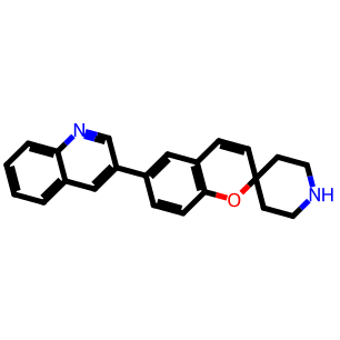 C1=CC2(CCNCC2)Oc2ccc(-c3cnc4ccccc4c3)cc21